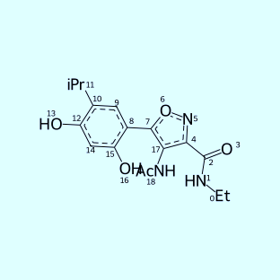 CCNC(=O)c1noc(-c2cc(C(C)C)c(O)cc2O)c1NC(C)=O